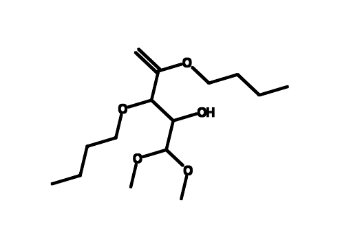 C=C(OCCCC)C(OCCCC)C(O)C(OC)OC